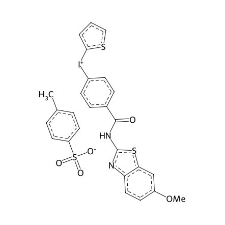 COc1ccc2nc(NC(=O)c3ccc([I+]c4cccs4)cc3)sc2c1.Cc1ccc(S(=O)(=O)[O-])cc1